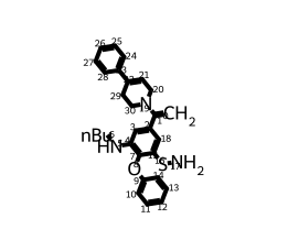 C=C(c1cc(NCCCC)c(Oc2ccccc2)c(SN)c1)N1CC=C(c2ccccc2)CC1